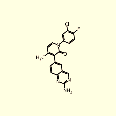 Cc1ccn(-c2ccc(F)c(Cl)c2)c(=O)c1-c1ccc2nc(N)ncc2c1